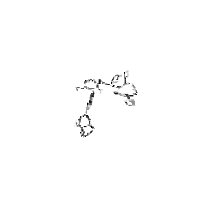 [O-][S+](CNc1ccc(F)c(C#Cc2cnc3ncccc3c2)c1F)c1cc(Cl)ccc1Cl